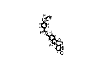 O=C1CCC(N2C(=O)c3ccc(CNC(=O)c4ccc(OC(F)(F)CF)cc4)cc3C2=O)C(=O)N1